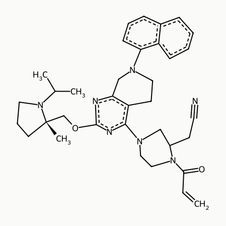 C=CC(=O)N1CCN(c2nc(OC[C@]3(C)CCCN3C(C)C)nc3c2CCN(c2cccc4ccccc24)C3)CC1CC#N